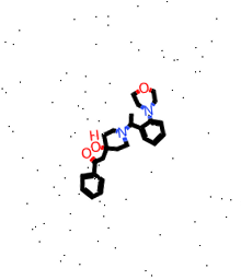 CC(c1ccccc1N1CCOCC1)N1CCC(O)(CC(=O)c2ccccc2)CC1